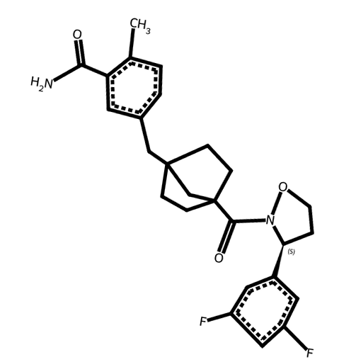 Cc1ccc(CC23CCC(C(=O)N4OCC[C@H]4c4cc(F)cc(F)c4)(CC2)C3)cc1C(N)=O